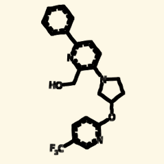 OCc1nc(-c2ccccc2)ccc1N1CCC(Oc2ccc(C(F)(F)F)cn2)C1